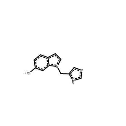 Oc1ccc2ccn(Cc3cnc[nH]3)c2c1